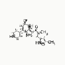 CC1=CC(CN(C)C(=O)c2cnn3c(C4CCNCC4)cc(=O)[nH]c23)NO1